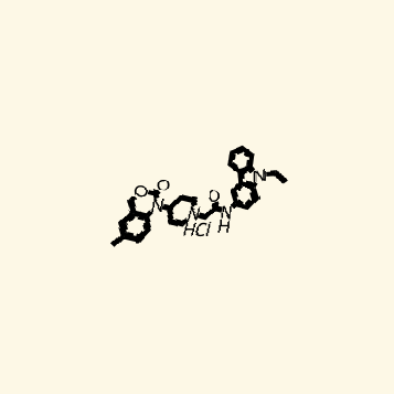 CCn1c2ccccc2c2cc(NC(=O)CN3CCC(N4C(=O)OCc5cc(C)ccc54)CC3)ccc21.Cl